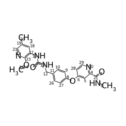 CNC(=O)c1cc(Oc2ccc(CNC(=O)Nc3cc(C)cnc3OC)cc2)ccn1